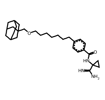 N=C(N)C1(NC(=O)c2ccc(CCCCCCCOCC34CC5CC(CC(C5)C3)C4)cc2)CC1